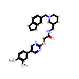 COc1ccc(-c2cnc(SCC(=O)NCC3CCCN(Cc4ccc5c(c4)CCC5)C3)nc2)cc1OC